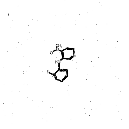 C[S+]([O-])c1ccncc1Nc1ccccc1F